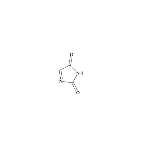 O=C1C=NC(=O)N1